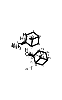 B.C=C1CCC2CC1C2(C)C.C=C1CCC2C[C@@H]1C2(C)C